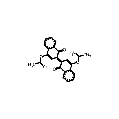 CC(C)OC1=CC(=C2C=C(OC(C)C)c3ccccc3C2=O)C(=O)c2ccccc21